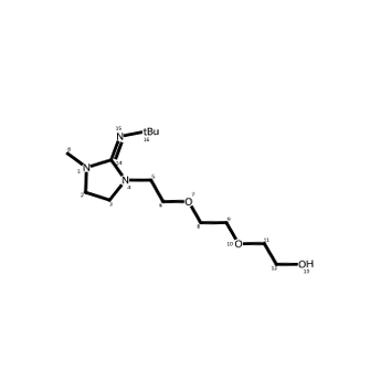 CN1CCN(CCOCCOCCO)C1=NC(C)(C)C